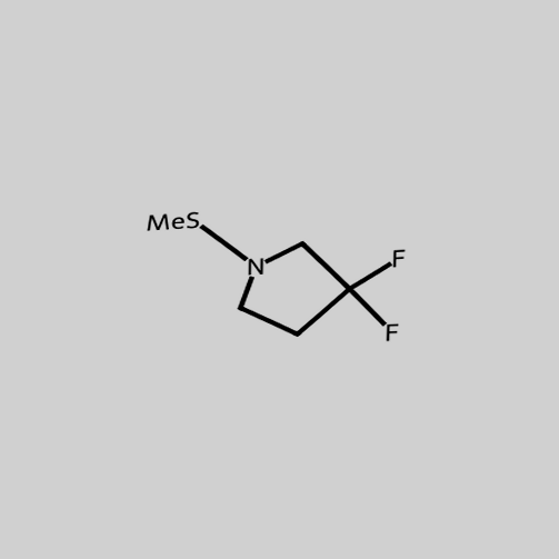 CSN1CCC(F)(F)C1